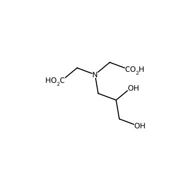 O=C(O)CN(CC(=O)O)CC(O)CO